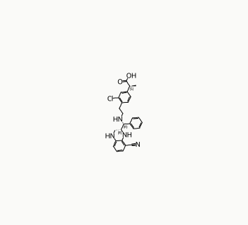 C[C@H](C(=O)O)c1ccc(CCN[C@H](c2ccccc2)[C@H]2CNc3cccc(C#N)c3N2)c(Cl)c1